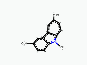 Cn1c2ccc(C=O)cc2c2cc([N+](=O)[O-])ccc21